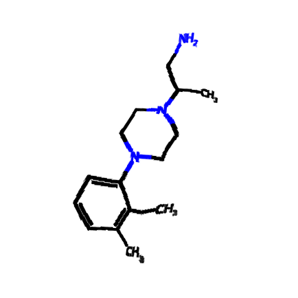 Cc1cccc(N2CCN(C(C)CN)CC2)c1C